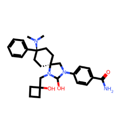 CN(C)[C@]1(c2ccccc2)CC[C@]2(CC1)CN(c1ccc(C(N)=O)cc1)C(O)N2CC1(O)CCC1